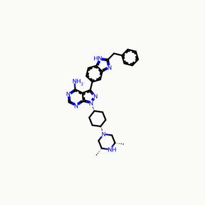 C[C@@H]1CN([C@H]2CC[C@@H](n3nc(-c4ccc5[nH]c(Cc6ccccc6)nc5c4)c4c(N)ncnc43)CC2)C[C@H](C)N1